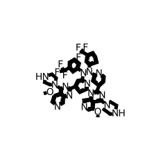 COc1cncc2nc(-c3ccnc(N(c4cccc(C(F)(F)F)c4)N(c4cccc(C(F)(F)F)c4)c4cc(-c5nc(N6CCNCC6)c6c(OC)cncc6n5)ccn4)c3)nc(N3CCNCC3)c12